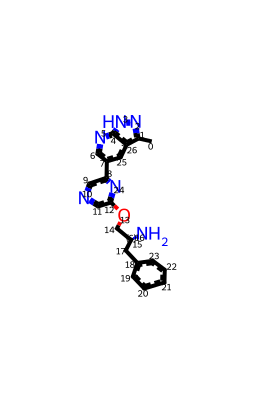 Cc1n[nH]c2ncc(-c3cncc(OC[C@@H](N)Cc4ccccc4)n3)cc12